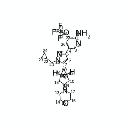 Nc1ncc(-c2cc([C@@H]3[C@@H]4C[C@@H](N5CCOCC5)C[C@@H]43)n(CC3CC3)n2)cc1OC(F)(F)F